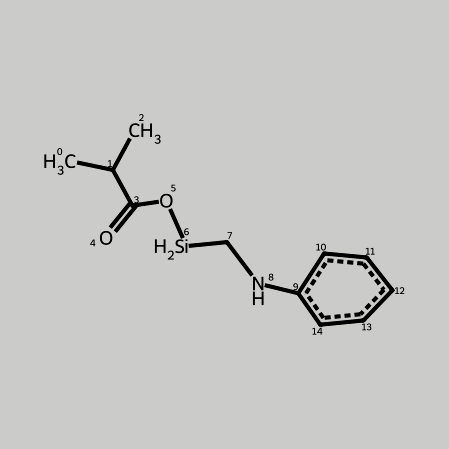 CC(C)C(=O)O[SiH2]CNc1ccccc1